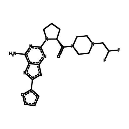 Nc1nc(N2CCC[C@H]2C(=O)N2CCN(CC(F)F)CC2)nc2sc(-c3ccco3)nc12